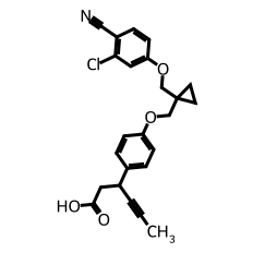 CC#CC(CC(=O)O)c1ccc(OCC2(COc3ccc(C#N)c(Cl)c3)CC2)cc1